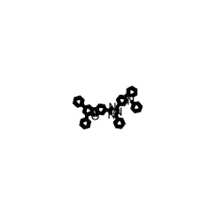 c1ccc(-c2cc(-c3ccccc3)c3oc4cc(-c5nc(-c6ccccc6)nc(-c6ccc7c8ccccc8n(-c8ccccc8)c7c6)n5)ccc4c3c2)cc1